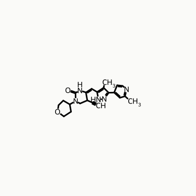 C#CC1CN(C2CCOCC2)C(=O)N/C1=C/c1[nH]nc(-c2ccnc(C)c2)c1C